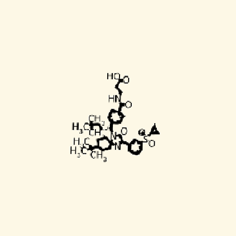 CC(C)(C)CC[C@H](c1ccc(C(=O)NCCC(=O)O)cc1)N1C(=O)C(c2cccc(S(=O)(=O)C3CC3)c2)=NC12CCC(C(C)(C)C)CC2